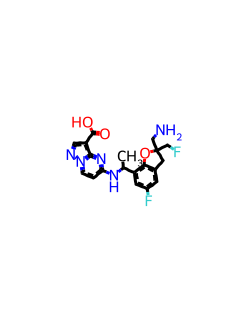 CC(Nc1ccn2ncc(C(=O)O)c2n1)c1cc(F)cc2c1OC(CN)(CF)C2